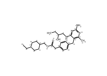 CCC(O)CNc1nc(N)nc(C)c1Cc1ccc(CC(=O)OCC2CCN(CI)CC2)cc1